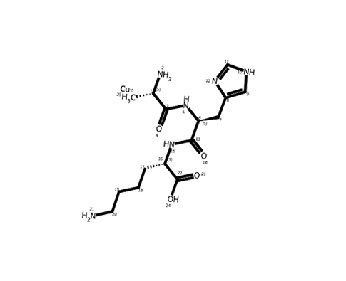 C[C@H](N)C(=O)N[C@@H](Cc1c[nH]cn1)C(=O)N[C@@H](CCCCN)C(=O)O.[Cu]